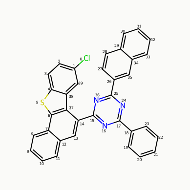 Clc1ccc2sc3c4ccccc4cc(-c4nc(-c5ccccc5)nc(-c5ccc6ccccc6c5)n4)c3c2c1